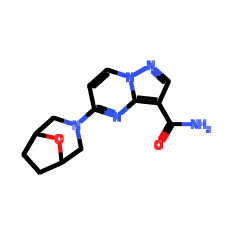 NC(=O)c1cnn2ccc(N3CC4CCC(C3)O4)nc12